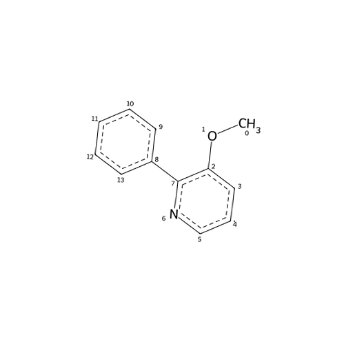 COc1c[c]cnc1-c1ccccc1